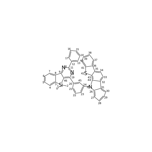 C[Si]1(C)c2ccccc2-c2nc(-c3ccccc3)nc(-c3cccc(-n4c5ccccc5c5ccc6c7ccccc7sc6c54)c3)c21